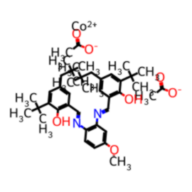 CC(=O)[O-].CC(=O)[O-].COc1ccc(N=Cc2cc(CC(C)(C)C)cc(C(C)(C)C)c2O)c(N=Cc2cc(CC(C)(C)C)cc(C(C)(C)C)c2O)c1.[Co+2]